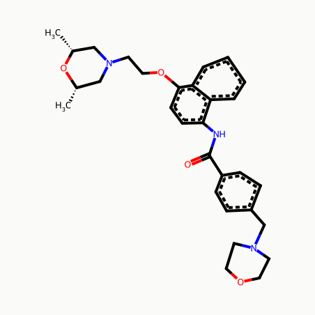 C[C@@H]1CN(CCOc2ccc(NC(=O)c3ccc(CN4CCOCC4)cc3)c3ccccc23)C[C@H](C)O1